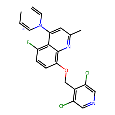 C=CN(/C=C\C)c1cc(C)nc2c(OCc3c(Cl)cncc3Cl)ccc(F)c12